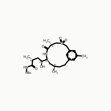 CCCCNC(=O)[C@H](C)C[C@H](O)[C@@H]1C[C@H](C)CCc2cc(C)cc(c2)CS(=O)(=O)C[C@@H](C)C(=O)N1